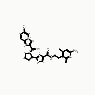 Cc1cc(N)nc(C)c1CCNC(=O)c1csc(C2CCCN2C(=O)c2cn3cc(Cl)ccc3n2)n1